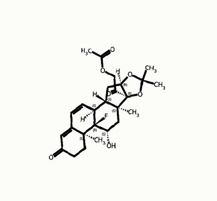 CC(=O)OCC(=O)[C@@]12OC(C)(C)O[C@@H]1C[C@H]1[C@@H]3C=CC4=CC(=O)CC[C@]4(C)[C@@]3(F)[C@@H](O)C[C@@]12C